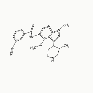 COc1c(NC(=O)c2cccc(C#N)c2)cnc2c1c(C1CCNCC1C)cn2C